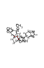 COc1ccc(CN2N(c3ccc4ncsc4c3)NO[C@]23CC2CCC3CC2)c(OC)c1